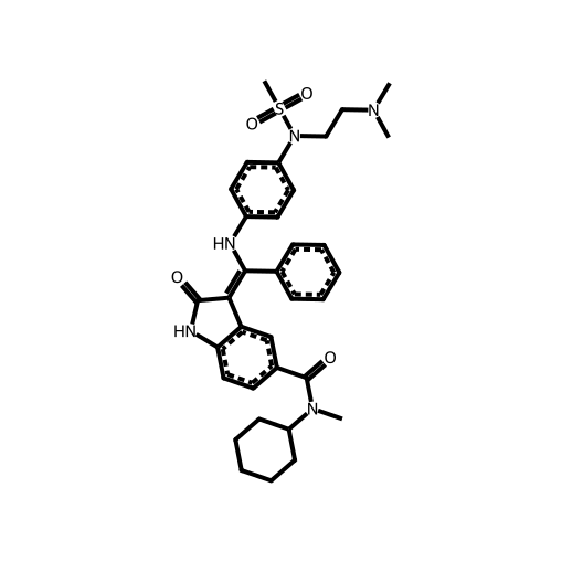 CN(C)CCN(c1ccc(N/C(=C2\C(=O)Nc3ccc(C(=O)N(C)C4CCCCC4)cc32)c2ccccc2)cc1)S(C)(=O)=O